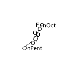 CCCCCCCCOc1ccc(C(=O)Oc2ccc(OCCCC3CCCCC3CCCCC)cc2)cc1F